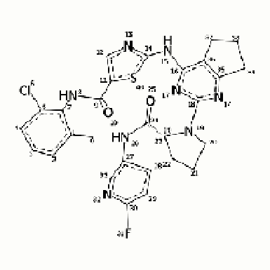 Cc1cccc(Cl)c1NC(=O)c1cnc(Nc2nc(N3CCC[C@@H]3C(=O)Nc3ccc(F)nc3)nc3c2CCC3)s1